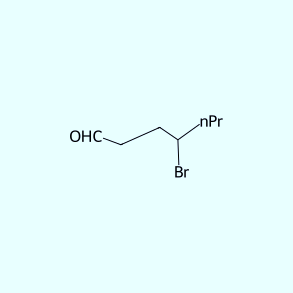 CCCC(Br)CCC=O